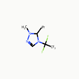 CC(C)C1N(C)N=CN1C(F)(F)C(F)(F)F